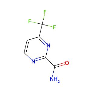 NC(=O)c1nccc(C(F)(F)F)n1